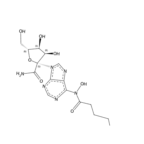 CCCCC(=O)N(O)c1ncnc2c1ncn2[C@]1(C(N)=O)O[C@H](CO)[C@@H](O)[C@H]1O